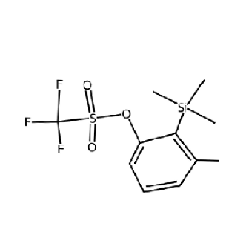 Cc1cccc(OS(=O)(=O)C(F)(F)F)c1[Si](C)(C)C